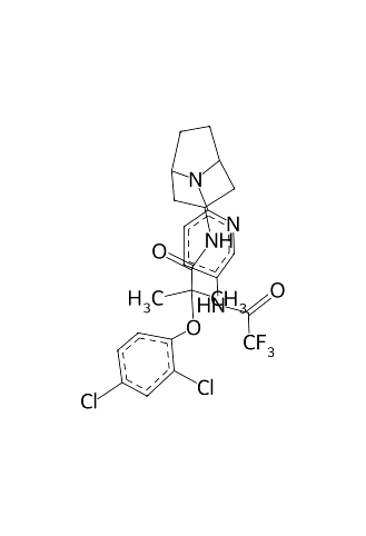 CC(C)(Oc1ccc(Cl)cc1Cl)C(=O)NC1CC2CCC(C1)N2c1ccc(NC(=O)C(F)(F)F)cn1